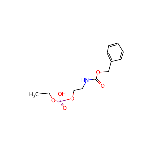 CCOP(=O)(O)OCCNC(=O)OCc1ccccc1